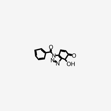 O=C1C=Cc2c(nnn2C(=O)c2ccccc2)C1O